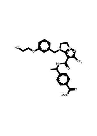 COC(=O)c1ccc(C(C)NC(=O)c2c(C(F)(F)F)nn3c2N(Cc2cccc(OCCO)c2)CC3)cc1